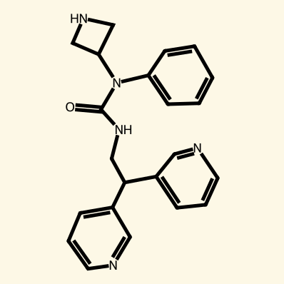 O=C(NCC(c1cccnc1)c1cccnc1)N(c1ccccc1)C1CNC1